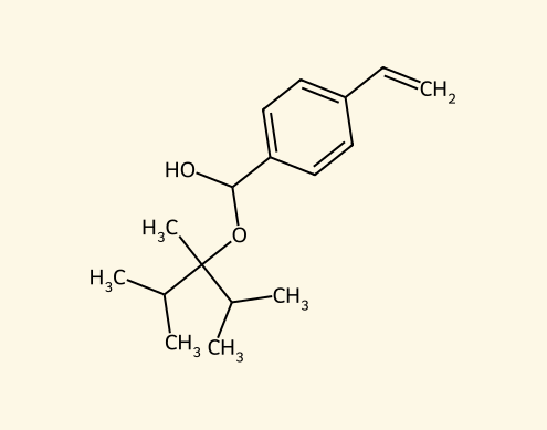 C=Cc1ccc(C(O)OC(C)(C(C)C)C(C)C)cc1